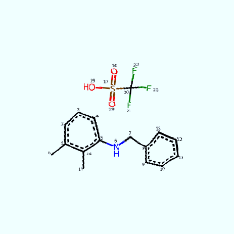 Cc1cccc(NCc2ccccc2)c1C.O=S(=O)(O)C(F)(F)F